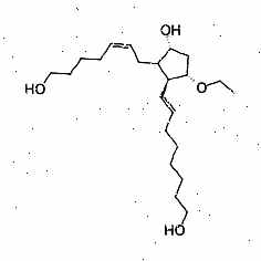 CCO[C@H]1C[C@@H](O)C(C/C=C\CCCCO)[C@@H]1/C=C/CCCCCCO